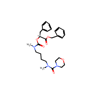 CN(CCCCN(C)C(=O)N1CCOCC1)C(=O)O[C@@H](Cc1ccccc1)C(=O)OCc1ccccc1